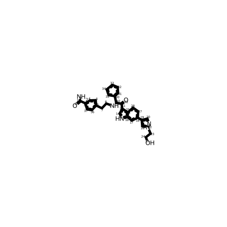 NC(=O)c1ccc(CCN[C@@H](C(=O)c2c[nH]c3cc(-c4cnn(CCO)c4)ccc23)c2ccccc2)cc1